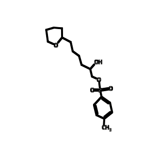 Cc1ccc(S(=O)(=O)OCC(O)CCCCC2CCCCO2)cc1